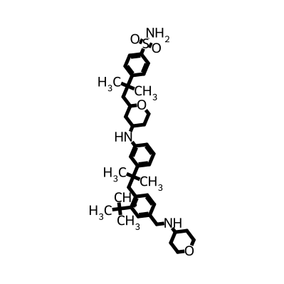 CC(C)(C)c1cc(CNC2CCOCC2)ccc1CC(C)(C)c1cccc(NC2CCOC(CC(C)(C)c3ccc(S(N)(=O)=O)cc3)C2)c1